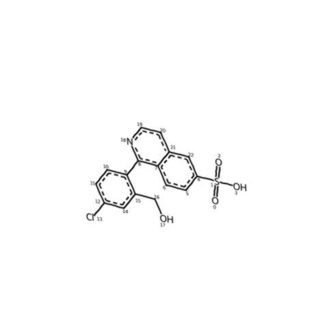 O=S(=O)(O)c1ccc2c(-c3ccc(Cl)cc3CO)nccc2c1